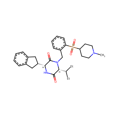 CCC(CC)[C@@H]1C(=O)N[C@H](C2Cc3ccccc3C2)C(=O)N1Cc1ccccc1S(=O)(=O)C1CCN(C)CC1